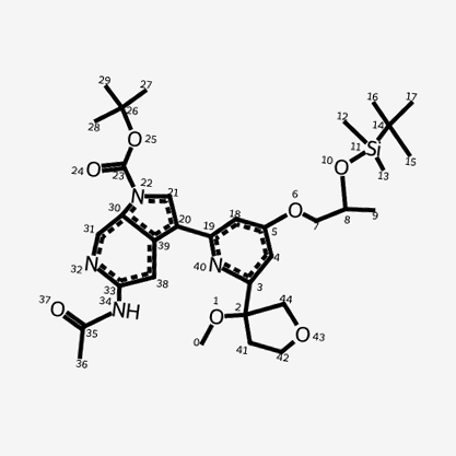 COC1(c2cc(OCC(C)O[Si](C)(C)C(C)(C)C)cc(-c3cn(C(=O)OC(C)(C)C)c4cnc(NC(C)=O)cc34)n2)CCOC1